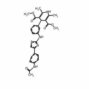 COC(=O)C1=C(C)NC(C)=C(C(=O)OC)C1c1cccc(Nc2nc(-c3ccc(NC(C)=O)cc3)cs2)c1